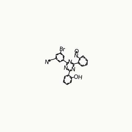 N#Cc1cc(Br)cc(-c2nc(-c3ccccc3O)nc(-c3ccccc3N=O)n2)c1